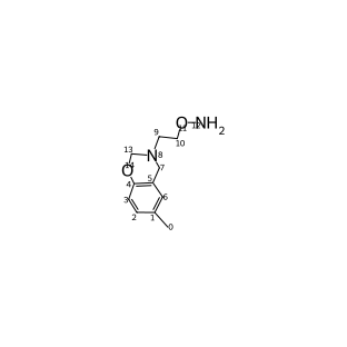 Cc1ccc2c(c1)CN(CCON)CO2